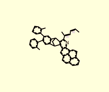 C/C=C\C=C(/C)c1nc2c(cc3ccc4cccc5ccc2c3c45)c2c1C1CC2c2cc(-c3ccccc3C)c(-c3ccccc3C)cc21